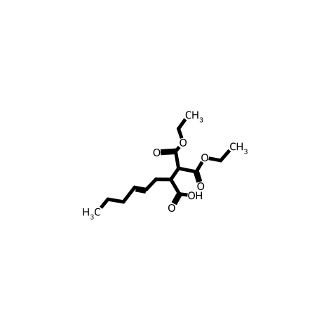 CCC/C=C/CC(C(=O)O)C(C(=O)OCC)C(=O)OCC